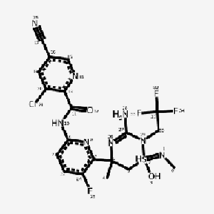 CN=[SH]1(O)CC(C)(c2nc(NC(=O)c3ncc(C#N)cc3Cl)ccc2F)N=C(N)N1CC(F)(F)F